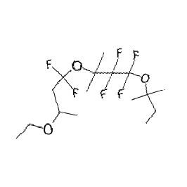 CCOC(C)CC(F)(F)OC(C)(C)C(F)(F)C(F)(F)OC(C)(C)CC